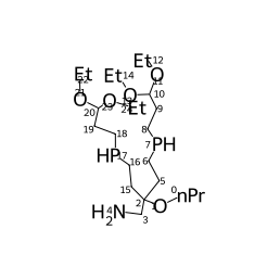 CCCOC(CN)(CCPCCC(OCC)OCC)CCPCCC(OCC)OCC